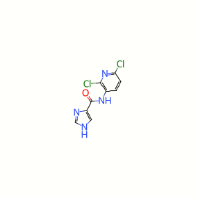 O=C(Nc1ccc(Cl)nc1Cl)c1c[nH]cn1